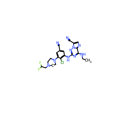 CCNc1nc(Nc2cc(C#N)cc(N3CCN(CC(F)F)CC3)c2Cl)nn2c(C#N)cnc12